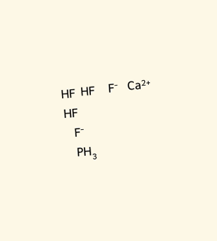 F.F.F.P.[Ca+2].[F-].[F-]